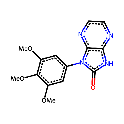 COc1cc(-n2c(=O)[nH]c3nccnc32)cc(OC)c1OC